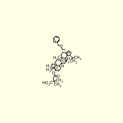 C=C(C)[C@@H]1CC[C@]2(CCOCc3ccccn3)CC[C@]3(C)[C@H](CC[C@@H]4[C@@]5(C)CC[C@H](OC(=O)CC(C)(C)C(=O)O)C(C)(C)[C@@H]5CC[C@]43C)[C@@H]12